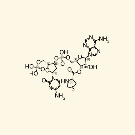 Nc1ccn([C@H]2C[C@H](OP(=O)(O)OC[C@H]3O[C@@H](n4cnc5c(N)ncnc54)[C@H](O)[C@@H]3OC(=O)[C@@H]3CSCN3)[C@@H](COP(=O)(O)O)O2)c(=O)n1